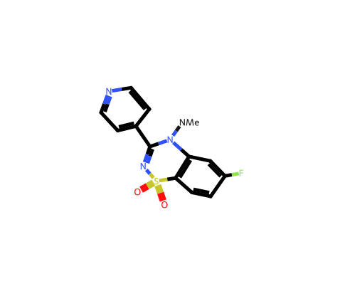 CNN1C(c2ccncc2)=NS(=O)(=O)c2ccc(F)cc21